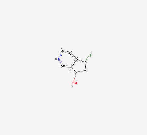 OC1CC(Cl)c2ccncc21